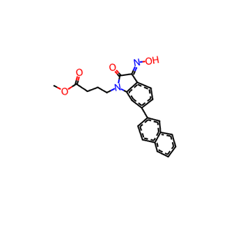 COC(=O)CCCN1C(=O)/C(=N/O)c2ccc(-c3ccc4ccccc4c3)cc21